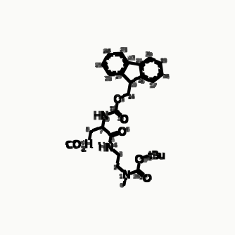 CN(CCNC(=O)C(CC(=O)O)NC(=O)OCC1c2ccccc2-c2ccccc21)C(=O)OC(C)(C)C